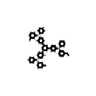 CCc1cccc(N(c2ccccc2)c2ccc(-c3cc(-c4ccc(N(c5ccccc5)c5cccc(C)c5)cc4)cc(-c4ccc(N(c5ccccc5)c5cccc(C)c5)cc4)c3)cc2)c1